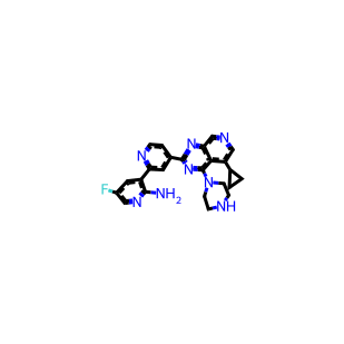 Nc1ncc(F)cc1-c1cc(-c2nc(N3CCNCC3)c3c(C4CC4)cncc3n2)ccn1